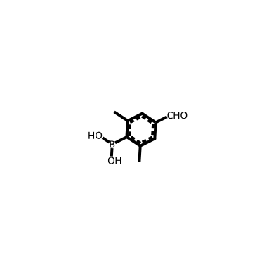 Cc1cc(C=O)cc(C)c1B(O)O